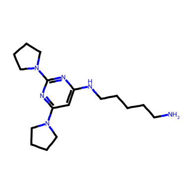 NCCCCCNc1cc(N2CCCC2)nc(N2CCCC2)n1